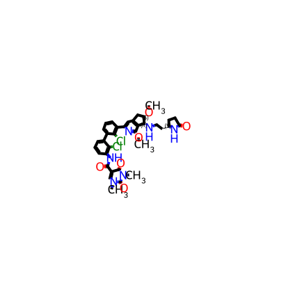 COc1nc(-c2cccc(-c3cccc(NC(=O)c4cn(C)c(=O)n(C)c4=O)c3Cl)c2Cl)cc2c1[C@@H](NCC[C@@H]1CCC(=O)N1)[C@@H](OC)C2